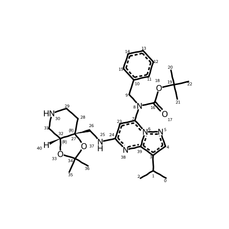 CC(C)c1cnn2c(N(Cc3ccccc3)C(=O)OC(C)(C)C)cc(NC[C@]34CCNC[C@H]3OC(C)(C)O4)nc12